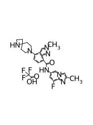 Cc1cn2cc(NC(=O)c3ccc(N4CCC5(CCN5)CC4)c4cn(C)nc34)cc(F)c2n1.O=C(O)C(F)(F)F